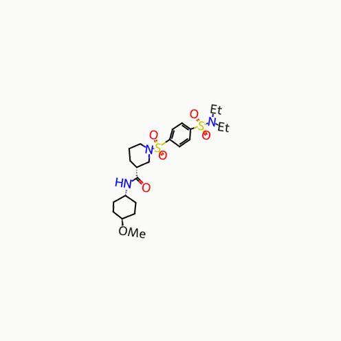 CCN(CC)S(=O)(=O)c1ccc(S(=O)(=O)N2CCC[C@@H](C(=O)N[C@H]3CC[C@H](OC)CC3)C2)cc1